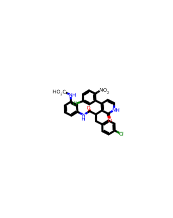 O=C(O)Nc1cccc(NC(=O)C(Cc2ccc(Cl)cc2)c2c(-c3cc(Cl)ccc3[N+](=O)[O-])cc[nH]c2=O)c1